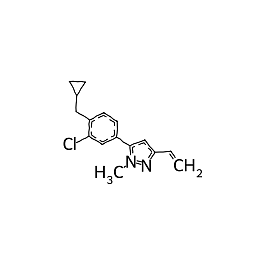 C=Cc1cc(-c2ccc(CC3CC3)c(Cl)c2)n(C)n1